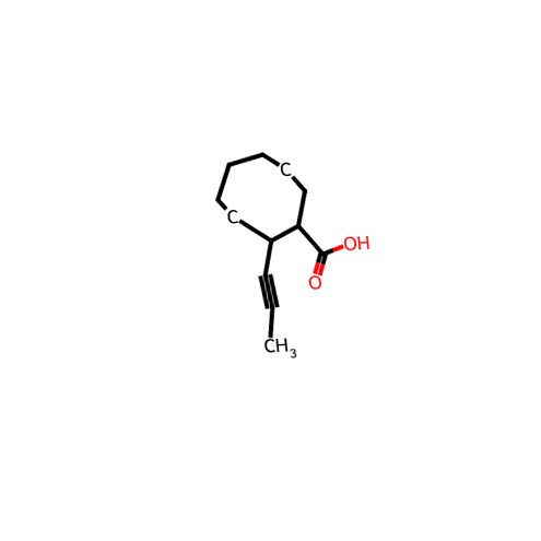 CC#CC1CCCCCCC1C(=O)O